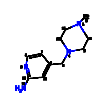 CCN1CCN(Cc2ccnc(N)c2)CC1